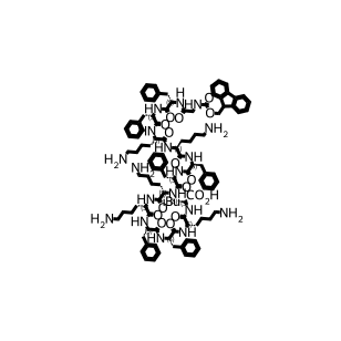 CC[C@H](C)[C@H](NC(=O)[C@H](CCCCN)NC(=O)[C@H](Cc1ccccc1)NC(=O)[C@H](Cc1ccccc1)NC(=O)[C@H](CCCCN)NC(=O)[C@H](CCCCN)NC(=O)[C@H](Cc1ccccc1)NC(=O)[C@H](Cc1ccccc1)NC(=O)[C@H](CCCCN)NC(=O)[C@H](CCCCN)NC(=O)[C@H](Cc1ccccc1)NC(=O)[C@H](Cc1ccccc1)NC(=O)CNC(=O)OCC1c2ccccc2-c2ccccc21)C(=O)O